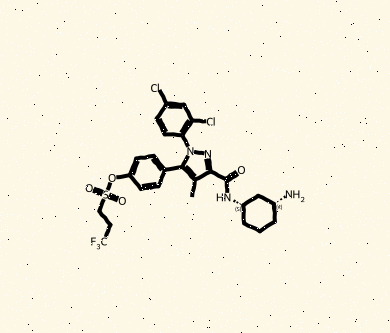 Cc1c(C(=O)N[C@H]2CCC[C@@H](N)C2)nn(-c2ccc(Cl)cc2Cl)c1-c1ccc(OS(=O)(=O)CCC(F)(F)F)cc1